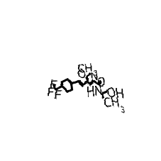 CCC(CO)NC(=O)c1cc(C=CC2CCC(C(F)(F)F)CC2)c(OC)cn1